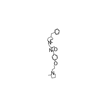 CC1CCCN1CCCOc1ccc(-c2nc(CN3CCC(Cc4ccccc4)CC3)co2)cc1